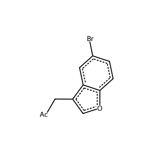 CC(=O)Cc1coc2ccc(Br)cc12